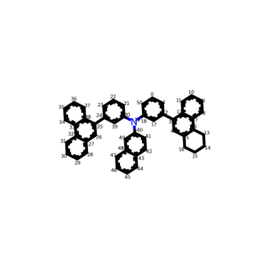 c1cc(-c2cc3c(c4ccccc24)CCCC3)cc(N(c2cccc(-c3cc4ccccc4c4ccccc34)c2)c2ccc3ccccc3c2)c1